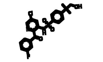 CC(C)(CO)c1ccc(S(=O)(=O)Nc2cc(Cl)cnc2C(=O)c2cccc(F)c2)cc1